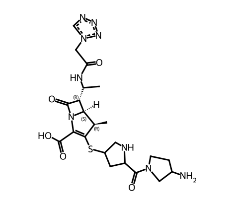 CC(NC(=O)Cn1cnnn1)[C@H]1C(=O)N2C(C(=O)O)=C(SC3CNC(C(=O)N4CCC(N)C4)C3)[C@H](C)[C@H]12